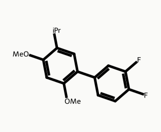 COc1cc(OC)c(C(C)C)cc1-c1ccc(F)c(F)c1